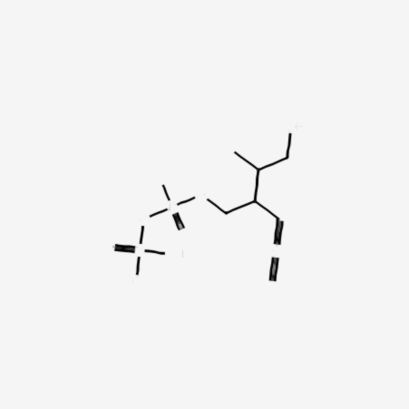 C=C=CC(COP(=O)(O)OP(=O)(O)O)C(C)CO